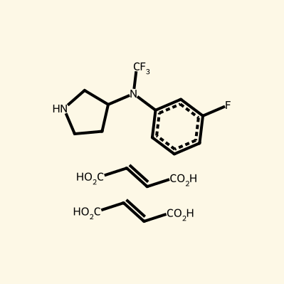 Fc1cccc(N(C2CCNC2)C(F)(F)F)c1.O=C(O)/C=C/C(=O)O.O=C(O)/C=C/C(=O)O